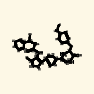 COc1ccc(CC(NC(=O)c2ccc(-c3onc(C)c3NC(=O)OC(C)c3ccccc3)cc2)C(=O)O)cc1